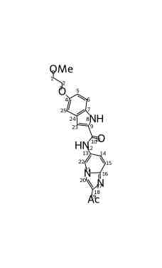 COCCOc1ccc2[nH]c(C(=O)Nc3ccc4nc(C(C)=O)cn4c3)cc2c1